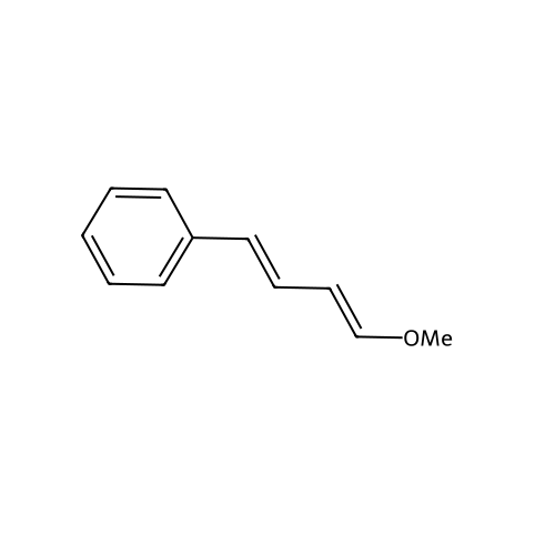 COC=CC=Cc1ccccc1